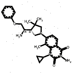 Cc1c(N2C[C@H]([C@@H](N)COc3ccccc3)C(C)(C)C2)ccc2c(=O)n(N)c(=O)n(C3CC3)c12